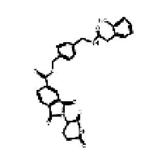 O=C(Cc1ccccc1C(F)(F)F)NCc1ccc(CNC(=O)c2ccc3c(c2)C(=O)N(C2CCC(=O)NC2=O)C3=O)cc1